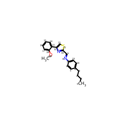 CCCCc1ccc(/N=C/c2nc(-c3ccccc3OC)cs2)cc1